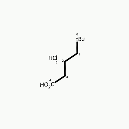 CC(C)(C)CCCC(=O)O.Cl